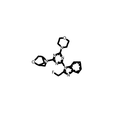 FCc1nc2ccccc2n1-c1nc(N2CCOCC2)nc(N2CC3CC2CO3)n1